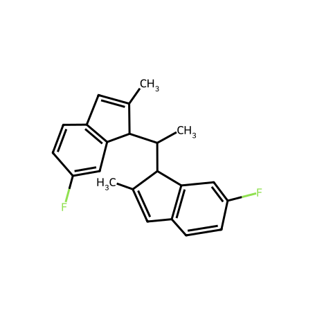 CC1=Cc2ccc(F)cc2C1C(C)C1C(C)=Cc2ccc(F)cc21